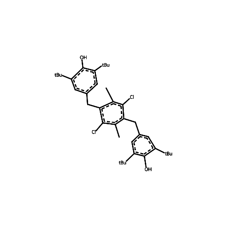 Cc1c(Cl)c(Cc2cc(C(C)(C)C)c(O)c(C(C)(C)C)c2)c(C)c(Cl)c1Cc1cc(C(C)(C)C)c(O)c(C(C)(C)C)c1